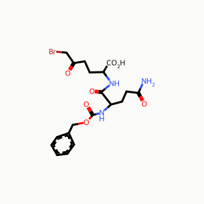 NC(=O)CCC(NC(=O)OCc1ccccc1)C(=O)NC(CCC(=O)CBr)C(=O)O